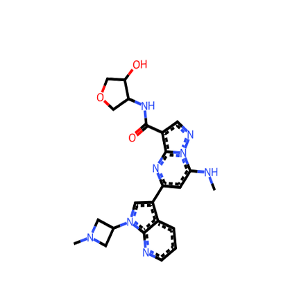 CNc1cc(-c2cn(C3CN(C)C3)c3ncccc23)nc2c(C(=O)NC3COCC3O)cnn12